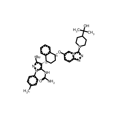 Cc1ccc(-n2nc(C(C)(C)C)c([C@H]3CC[C@@H](Oc4ccc5nnc(N6CCC(C(C)(C)O)CC6)n5c4)c4ccccc43)c2NC(N)=O)cc1